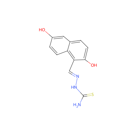 NC(=S)NN=Cc1c(O)ccc2cc(O)ccc12